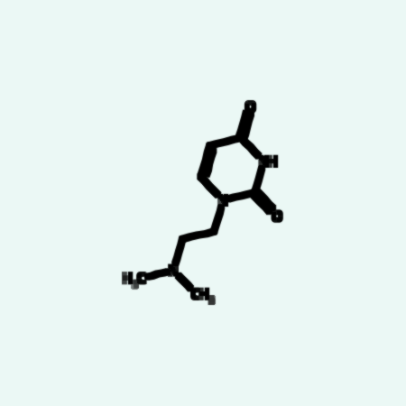 CN(C)CCn1ccc(=O)[nH]c1=O